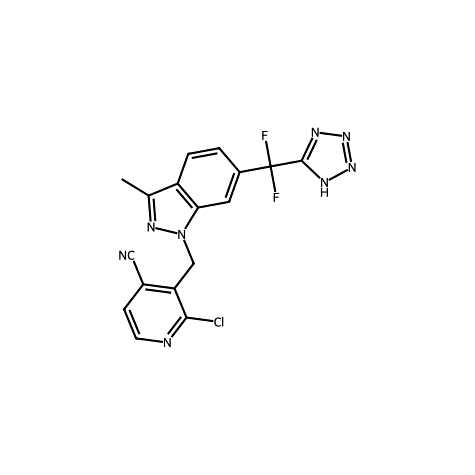 Cc1nn(Cc2c(C#N)ccnc2Cl)c2cc(C(F)(F)c3nnn[nH]3)ccc12